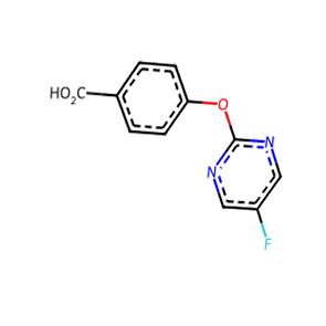 O=C(O)c1ccc(Oc2ncc(F)cn2)cc1